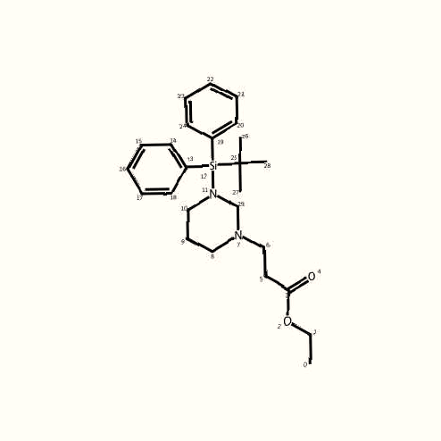 CCOC(=O)CCN1CCCN([Si](c2ccccc2)(c2ccccc2)C(C)(C)C)C1